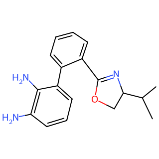 CC(C)C1COC(c2ccccc2-c2cccc(N)c2N)=N1